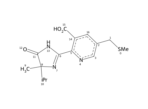 CSCc1cnc(C2=NC(C)(C(C)C)C(=O)N2)c(C(=O)O)c1